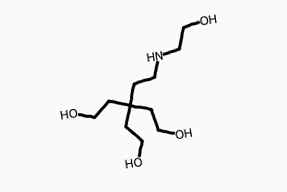 OCCNCCC(CCO)(CCO)CCO